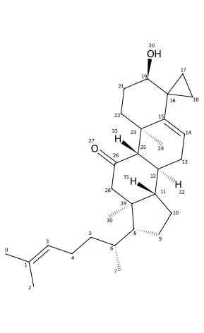 CC(C)=CCC[C@@H](C)[C@H]1CC[C@H]2[C@@H]3CC=C4C5(CC5)[C@H](O)CC[C@]4(C)[C@H]3C(=O)C[C@]12C